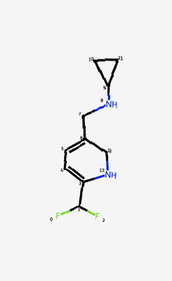 FC(F)C1=CC=C(CNC2CC2)CN1